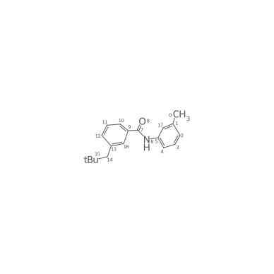 Cc1cccc(NC(=O)c2cccc(CC(C)(C)C)c2)c1